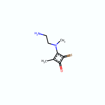 Cc1c(N(C)CCN)c(=S)c1=O